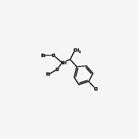 CCO[SiH](OCC)C(C)c1ccc(Cl)cc1